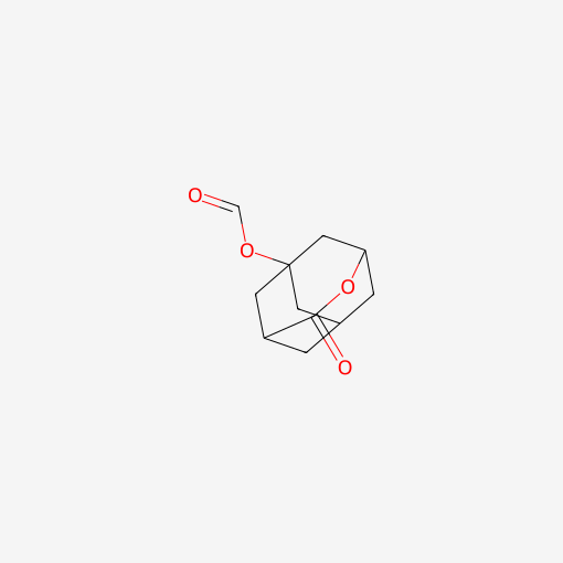 O=COC12CC3CC(C1)OC(=O)C(C3)C2